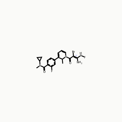 CC1C(c2ccc(C(=O)N(C)C3CC3)c(F)c2)=CC=CN1C(=O)/C(Br)=C(\N)NF